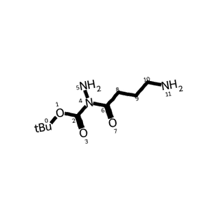 CC(C)(C)OC(=O)N(N)C(=O)CCCN